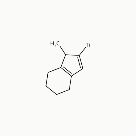 CC1[C]([Ti])=CC2=C1CCCC2